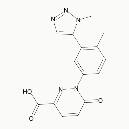 Cc1ccc(-n2nc(C(=O)O)ccc2=O)cc1-c1cnnn1C